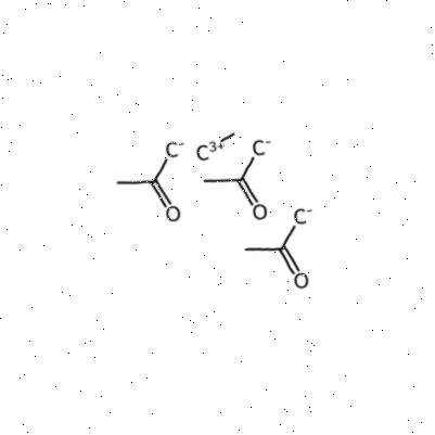 [C+3]C.[CH2-]C(C)=O.[CH2-]C(C)=O.[CH2-]C(C)=O